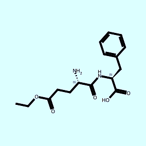 CCOC(=O)CC[C@H](N)C(=O)N[C@@H](Cc1ccccc1)C(=O)O